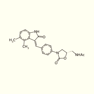 CC(=O)NC[C@H]1CN(c2ccc(C=C3C(=O)Nc4ccc(C)c(C)c43)cc2)C(=O)O1